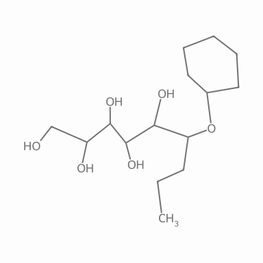 CCCC(OC1CCCCC1)C(O)C(O)C(O)C(O)CO